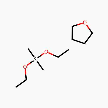 C1CCOC1.CCO[Si](C)(C)OCC